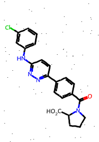 O=C(O)C1CCCN1C(=O)c1ccc(-c2ccc(Nc3cccc(Cl)c3)nn2)cc1